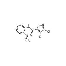 C=Nc1ccccc1NC(=O)c1snc(Cl)c1Cl